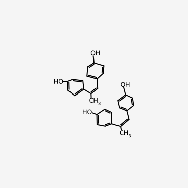 CC(=Cc1ccc(O)cc1)c1ccc(O)cc1.CC(=Cc1ccc(O)cc1)c1ccc(O)cc1